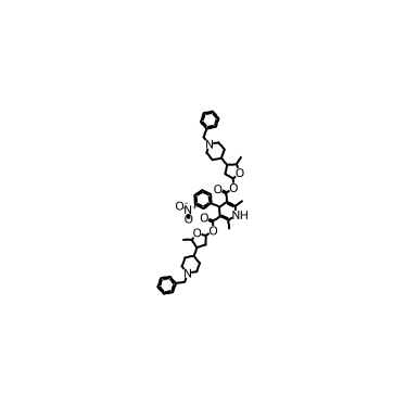 CC1=C(C(=O)OC2CC(C3CCN(Cc4ccccc4)CC3)C(C)O2)C(c2cccc([N+](=O)[O-])c2)C(C(=O)OC2CC(C3CCN(Cc4ccccc4)CC3)C(C)O2)=C(C)N1